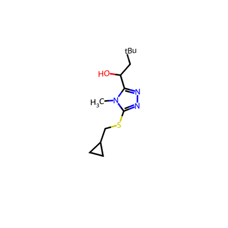 Cn1c(SCC2CC2)nnc1C(O)CC(C)(C)C